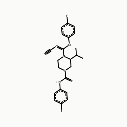 CC(C)C1CN(C(=O)Nc2ccc(F)cc2)CCN1/C(=N\C#N)Nc1ccc(F)cc1